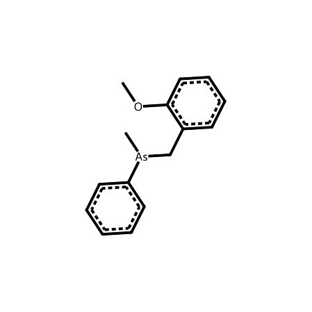 COc1ccccc1C[As](C)c1ccccc1